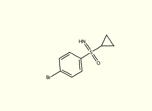 N=S(=O)(c1ccc(Br)cc1)C1CC1